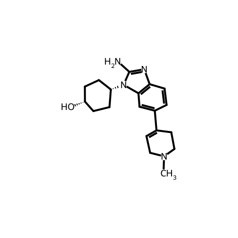 CN1CC=C(c2ccc3nc(N)n([C@H]4CC[C@@H](O)CC4)c3c2)CC1